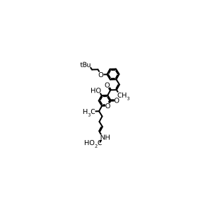 CC(=Cc1cccc(OCCC(C)(C)C)c1)C(=O)c1c(O)cc(C(C)CCC=CNC(=O)O)oc1=O